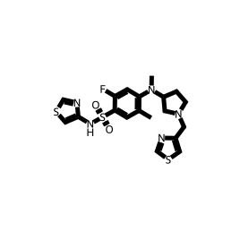 Cc1cc(S(=O)(=O)Nc2cscn2)c(F)cc1N(C)C1CCN(Cc2cscn2)C1